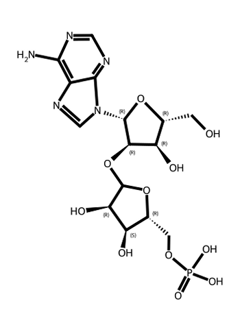 Nc1ncnc2c1ncn2[C@@H]1O[C@H](CO)[C@@H](O)[C@H]1OC1O[C@H](COP(=O)(O)O)[C@@H](O)[C@H]1O